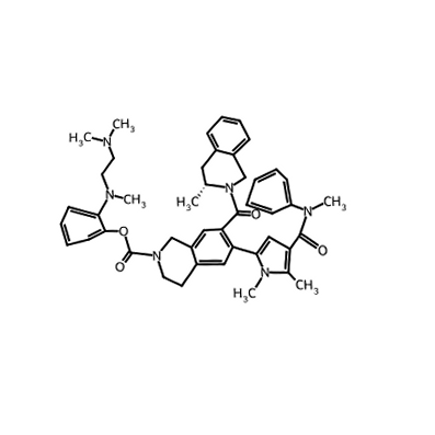 Cc1c(C(=O)N(C)c2ccccc2)cc(-c2cc3c(cc2C(=O)N2Cc4ccccc4C[C@H]2C)CN(C(=O)Oc2ccccc2N(C)CCN(C)C)CC3)n1C